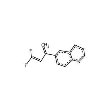 C=C(C=C(F)F)c1ccc2nc[c]cc2c1